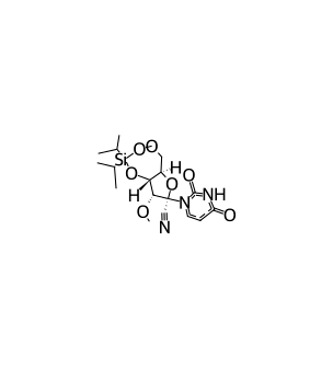 CO[C@@H]1[C@@H]2O[Si](C(C)C)(C(C)C)OOC[C@H]2O[C@@]1(C#N)n1ccc(=O)[nH]c1=O